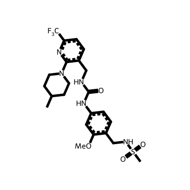 COc1cc(NC(=O)NCc2ccc(C(F)(F)F)nc2N2CCC(C)CC2)ccc1CNS(C)(=O)=O